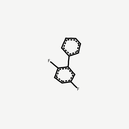 Fc1ccc(F)c(-c2[c]cccc2)c1